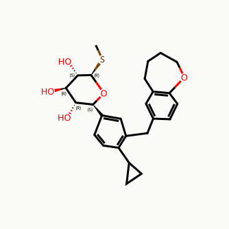 CS[C@H]1O[C@@H](c2ccc(C3CC3)c(Cc3ccc4c(c3)CCCCO4)c2)[C@H](O)[C@@H](O)[C@@H]1O